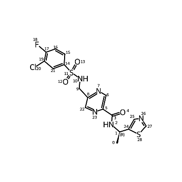 C[C@@H](NC(=O)c1cnc(CNS(=O)(=O)c2ccc(F)c(Cl)c2)cn1)c1cncs1